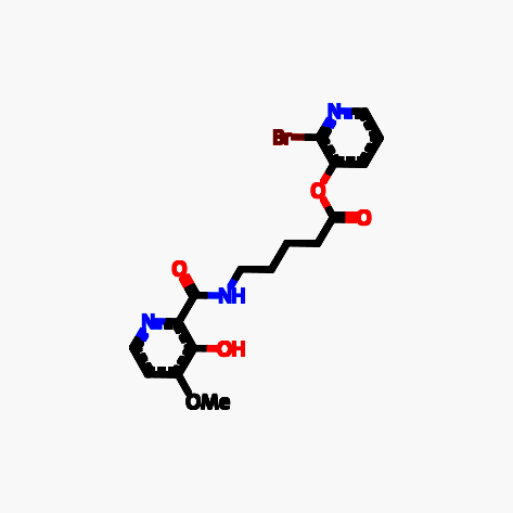 COc1ccnc(C(=O)NCCCCC(=O)Oc2cccnc2Br)c1O